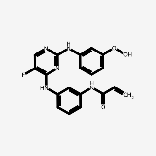 C=CC(=O)Nc1cccc(Nc2nc(Nc3cccc(OO)c3)ncc2F)c1